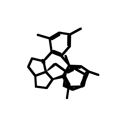 Cc1cc(C)c([C@H]2CCC3CCN(c4c(C)cc(C)cc4C)[C@]32Cc2ccccc2)c(C)c1